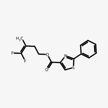 CC(CCOC(=O)c1csc(-c2ccccc2)n1)=C(F)F